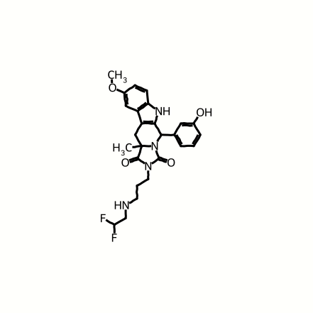 COc1ccc2[nH]c3c(c2c1)CC1(C)C(=O)N(CCCNCC(F)F)C(=O)N1C3c1cccc(O)c1